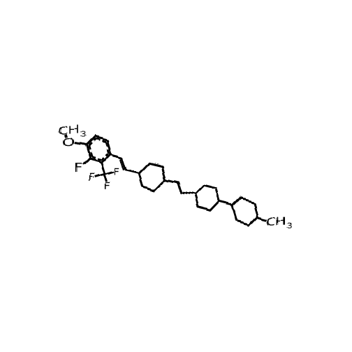 COc1ccc(/C=C/C2CCC(CCC3CCC(C4CCC(C)CC4)CC3)CC2)c(C(F)(F)F)c1F